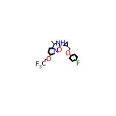 C[C@@H](NC(=O)[C@@H]1C[C@H]1COc1ccc(F)cc1)c1ccc(OCC(F)(F)F)cn1